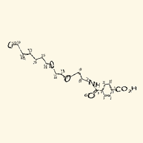 O=C(O)c1ccc(C(=O)NCCOCCOCCCCCCCl)cc1